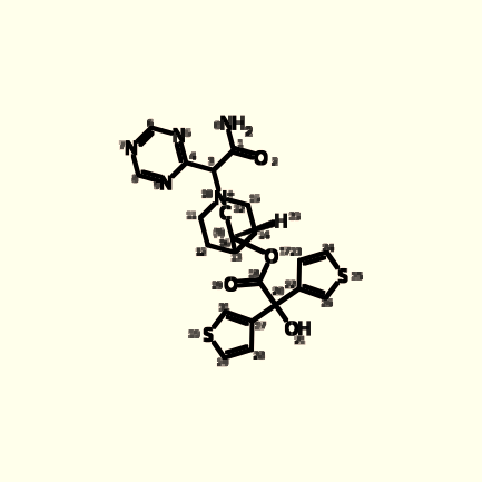 NC(=O)C(c1ncncn1)[N+]12CCC(CC1)[C@@H](OC(=O)C(O)(c1ccsc1)c1ccsc1)C2